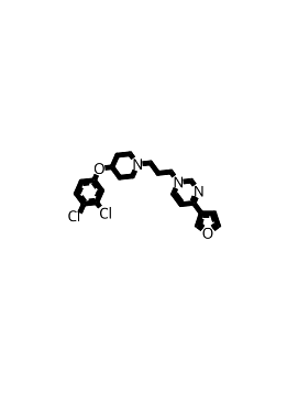 Clc1ccc(OC2CCN(CCCN3C=CC(c4ccoc4)=NC3)CC2)cc1Cl